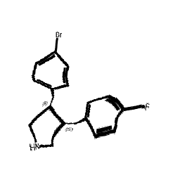 Fc1ccc([C@H]2CNC[C@H]2c2ccc(Br)cc2)cc1